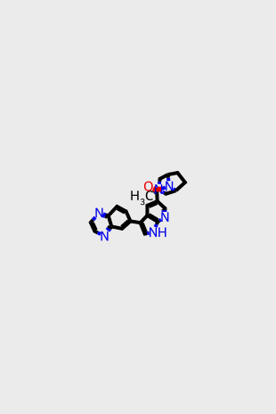 CN1CC2CCC(C1)N2C(=O)c1cnc2[nH]cc(-c3ccc4nccnc4c3)c2c1